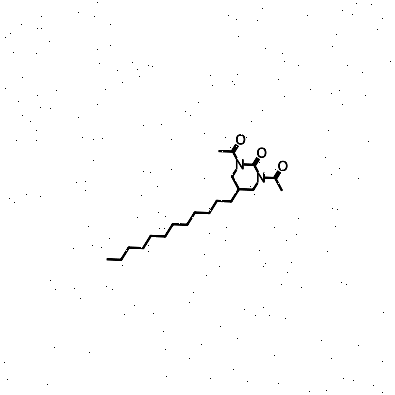 CCCCCCCCCCCCC1CN(C(C)=O)C(=O)N(C(C)=O)C1